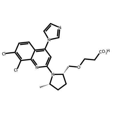 C[C@H]1CC[C@@H](COCCC(=O)O)N1c1cc(-n2ccnc2)c2ccc(Cl)c(Cl)c2n1